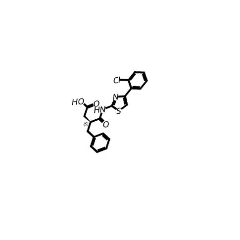 O=C(O)C[C@H](Cc1ccccc1)C(=O)Nc1nc(-c2ccccc2Cl)cs1